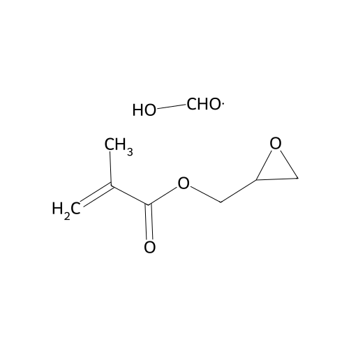 C=C(C)C(=O)OCC1CO1.O=[C]O